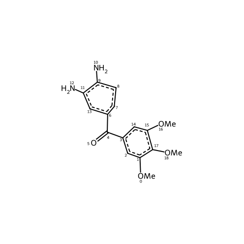 COc1cc(C(=O)c2ccc(N)c(N)c2)cc(OC)c1OC